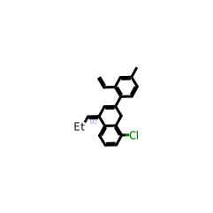 C=Cc1cc(C)ccc1C1=C/C(=C/CC)c2cccc(Cl)c2C1